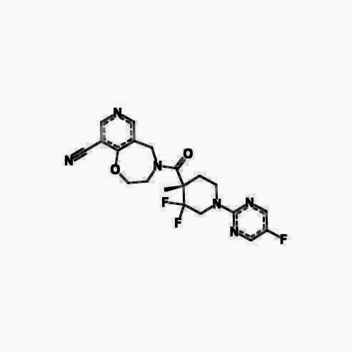 C[C@@]1(C(=O)N2CCOc3c(C#N)cncc3C2)CCN(c2ncc(F)cn2)CC1(F)F